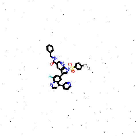 Cc1ccc(S(=O)(=O)n2cc(-c3cc(F)c4nccc(-c5cccnc5)c4c3)c3cc(C(=O)NCc4ccccc4)cnc32)cc1